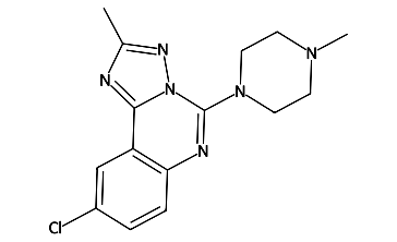 Cc1nc2c3cc(Cl)ccc3nc(N3CCN(C)CC3)n2n1